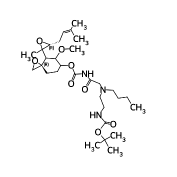 CCCCN(CCNC(=O)OC(C)(C)C)CC(=O)NC(=O)OC1CC[C@]2(CO2)C(C2(C)O[C@@H]2CC=C(C)C)C1OC